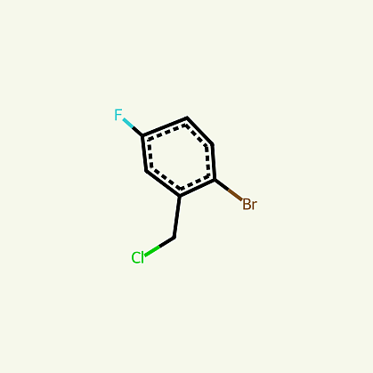 Fc1ccc(Br)c(CCl)c1